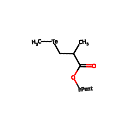 CCCCCOC(=O)C(C)C[Te]C